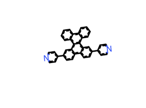 c1ccc2c(c1)c1ccccc1c1c3cc(-c4ccncc4)ccc3c3ccc(-c4ccncc4)cc3c21